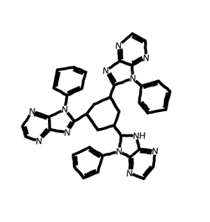 c1ccc(N2c3nccnc3NC2C2CC(c3nc4nccnc4n3-c3ccccc3)CC(c3nc4nccnc4n3-c3ccccc3)C2)cc1